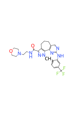 Cn1nc(C(=O)NCCN2CCOCC2)c2c1-c1nc(Nc3cccc(C(F)(F)F)c3)ncc1CCC2